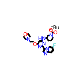 CC(C)(C)OC(=O)N1CCCC(Nc2cc(OCCN3CCOCC3)nc(-c3cnc4ccc(F)cn34)n2)C1